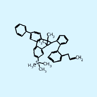 C=CCc1ccccc1-c1ccccc1C1C2(C)c3ccc(-c4ccccc4)cc3-c3ccc([Si](C)(C)C)cc3C12C